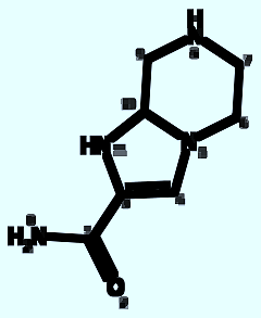 NC(=O)C1=CN2CCNCC2N1